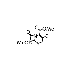 COC(=O)C1=C(Cl)CSC2[C@H](OC)C(=O)N12